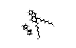 CCCCCCCCc1ccc2c(c1CCCCCCCC)Cc1ccccc1-2.c1csc(-c2cccs2)c1